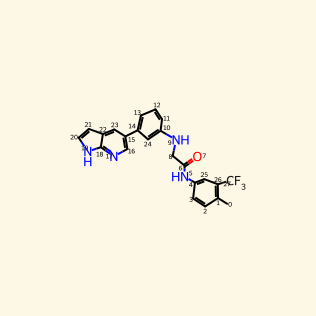 Cc1ccc(NC(=O)CNc2cccc(-c3cnc4[nH]ccc4c3)c2)cc1C(F)(F)F